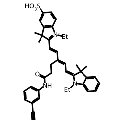 C#Cc1cccc(NC(=O)CCC(/C=C/C2=[N+](CC)c3ccc(S(=O)(=O)O)cc3C2(C)C)=C\C=C2\N(CC)c3ccccc3C2(C)C)c1